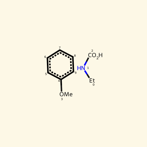 CCNC(=O)O.COc1ccccc1